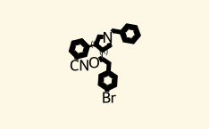 N#Cc1cccc([C@H]2CN(Cc3ccccc3)C[C@@H]2C(=O)Cc2ccc(Br)cc2)c1